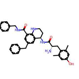 Cc1cc(O)cc(C)c1C[C@H](N)C(=O)N[C@@H]1CCNc2c(C(=O)NCc3ccccc3)cc(Cc3ccccc3)cc21